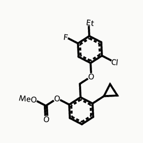 CCc1cc(Cl)c(OCc2c(OC(=O)OC)cccc2C2CC2)cc1F